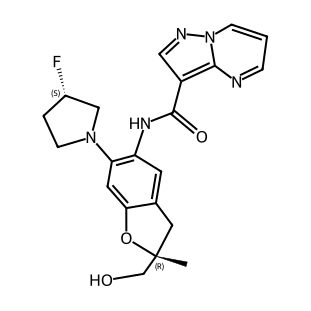 C[C@]1(CO)Cc2cc(NC(=O)c3cnn4cccnc34)c(N3CC[C@H](F)C3)cc2O1